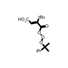 CC(C)C(C)(C)OOOC(=O)C(=CC(=O)O)C(C)(C)C